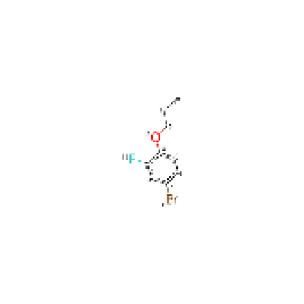 [CH2]CCOc1ccc(Br)cc1F